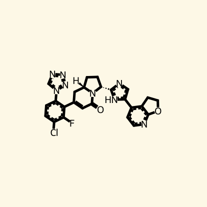 O=C1C=C(c2c(-n3cnnn3)ccc(Cl)c2F)C[C@@H]2CC[C@H](c3ncc(-c4ccnc5c4CCO5)[nH]3)N12